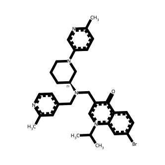 Cc1ccc(N2CCC[C@H](N(Cc3ccnc(C)c3)Cc3cn(C(C)C)c4cc(Br)ccc4c3=O)C2)cn1